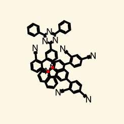 N#Cc1ccc(-c2ccc3c(c2)c2ccccc2n3-c2ccc(-c3nc(-c4ccccc4)nc(-c4ccccc4)n3)cc2-c2c(C#N)cccc2-n2c3ccccc3c3cc(-c4ccc(C#N)cc4C#N)ccc32)c(C#N)c1